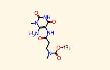 CN(CCC(=O)Nc1c(N)n(C)c(=O)[nH]c1=O)C(=O)OC(C)(C)C